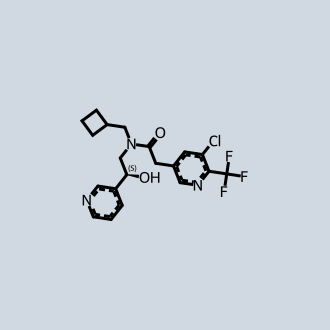 O=C(Cc1cnc(C(F)(F)F)c(Cl)c1)N(CC1CCC1)C[C@@H](O)c1cccnc1